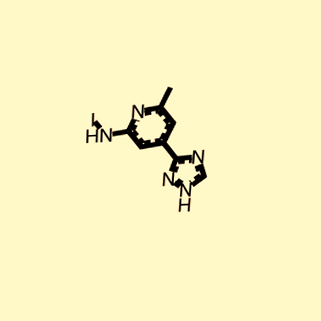 Cc1cc(-c2nc[nH]n2)cc(NI)n1